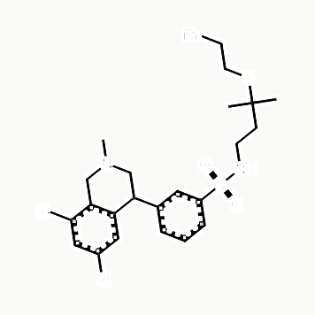 CC(C)CCOC(C)(C)CCNS(=O)(=O)c1cccc(C2CN(C)Cc3c(Cl)cc(Cl)cc32)c1